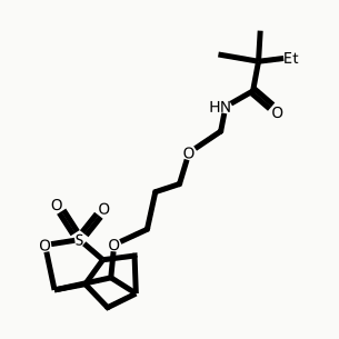 CCC(C)(C)C(=O)NCOCCCOC1C2CC3C1OS(=O)(=O)C3C2